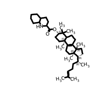 CC(C)=CCC[C@@H](C)[C@H]1CC[C@@]2(C)C3=C(CC[C@]12C)[C@@]1(C)CC[C@H](OC(=O)C2CCC4CCCCC4N2)C(C)(C)C1CC3